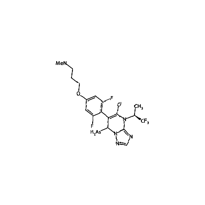 CNCCCOc1cc(F)c(C2=C(Cl)N([C@@H](C)C(F)(F)F)c3ncnn3C2[AsH2])c(F)c1